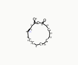 O=C1C/C=C/CCCCCCCCCCCC(=O)O1